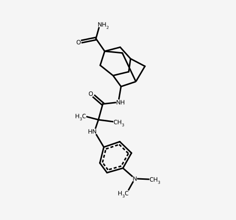 CN(C)c1ccc(NC(C)(C)C(=O)NC2C3CC4CC2CC(C(N)=O)(C4)C3)cc1